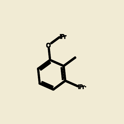 C[C](C)c1cccc(OC(C)C)c1C